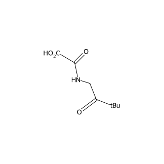 CC(C)(C)C(=O)CNC(=O)C(=O)O